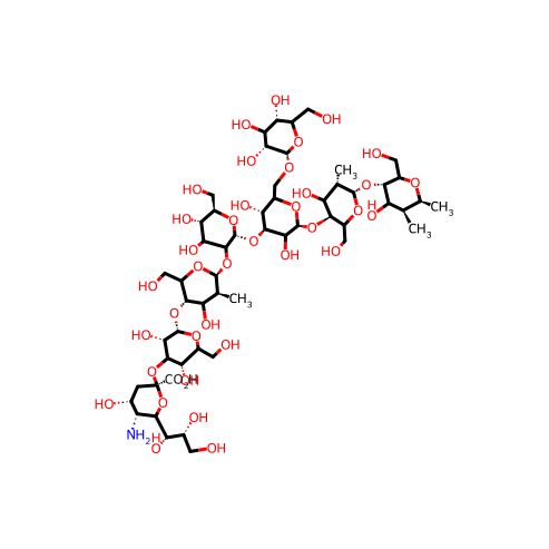 C[C@@H]1OC(CO)[C@@H](O[C@@H]2OC(CO)[C@@H](O[C@@H]3OC(CO[C@H]4OC(CO)[C@@H](O)C(O)[C@H]4O)[C@@H](O)[C@H](O[C@H]4O[C@H](CO)[C@@H](O)C(O)C4O[C@@H]4OC(CO)[C@@H](O[C@@H]5OC(CO)[C@H](O)C(O[C@]6(C(=O)O)C[C@@H](O)[C@@H](N)C([C@@H](O)[C@H](O)CO)O6)[C@@H]5O)C(O)[C@@H]4C)C3O)C(O)[C@@H]2C)C(O)[C@@H]1C